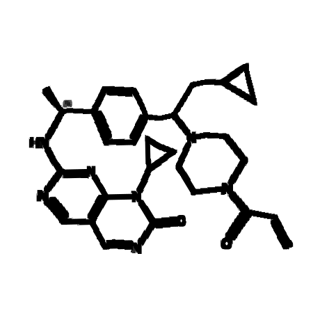 C=CC(=O)N1CCN(C(CC2CC2)c2ccc([C@H](C)Nc3ncc4cnc(=O)n(C5CC5)c4n3)cc2)CC1